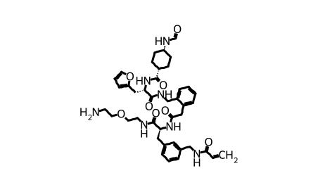 C=CC(=O)NCc1cccc(C[C@H](NC(=O)Cc2ccccc2CNC(=O)[C@H](Cc2ccco2)NC(=O)[C@H]2CC[C@@H](NC=O)CC2)C(=O)NCCOCCN)c1